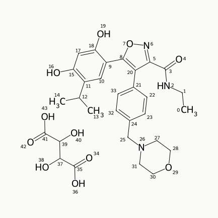 CCNC(=O)c1noc(-c2cc(C(C)C)c(O)cc2O)c1-c1ccc(CN2CCOCC2)cc1.O=C(O)C(O)C(O)C(=O)O